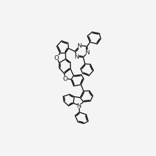 c1ccc(-c2nc(-c3ccccc3)nc(-c3cccc4oc5cc6oc7cc(-c8cccc9c8c8ccccc8n9-c8ccccc8)ccc7c6cc5c34)n2)cc1